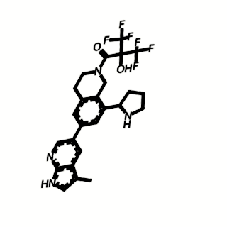 Cc1c[nH]c2ncc(-c3cc4c(c(C5CCCN5)c3)CN(C(=O)C(O)(C(F)(F)F)C(F)(F)F)CC4)cc12